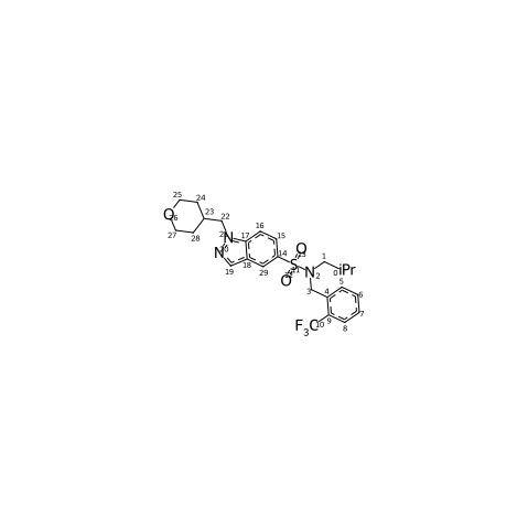 CC(C)CN(Cc1ccccc1C(F)(F)F)S(=O)(=O)c1ccc2c(cnn2CC2CCOCC2)c1